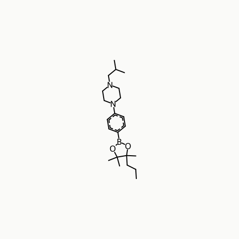 CCCC1(C)OB(c2ccc(N3CCN(CC(C)C)CC3)cc2)OC1(C)C